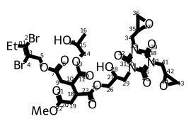 CC/C(Br)=C(\Br)COC(=O)CC(C(=O)OCC(C)O)C(CC(=O)OC)C(=O)OCC(O)Cn1c(=O)n(CC2CO2)c(=O)n(CC2CO2)c1=O